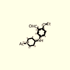 CCOc1ccc(NC2CCN(C(C)=O)CC2)cc1C=O